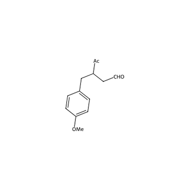 COc1ccc(CC(CC=O)C(C)=O)cc1